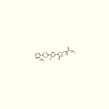 CC(=O)NCC1CN(c2ccc(N3CCN(c4cccnc4C)CC3)c(F)c2)C(=O)O1